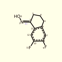 O/N=C1\CCCc2cc(F)c(F)cc21